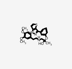 COc1ccc(CCNCC(C)(O)Oc2cccc(-c3n[nH]c4ccsc34)c2)cc1OC